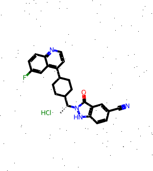 C[C@H](C1CCC(c2ccnc3ccc(F)cc23)CC1)n1[nH]c2ccc(C#N)cc2c1=O.Cl